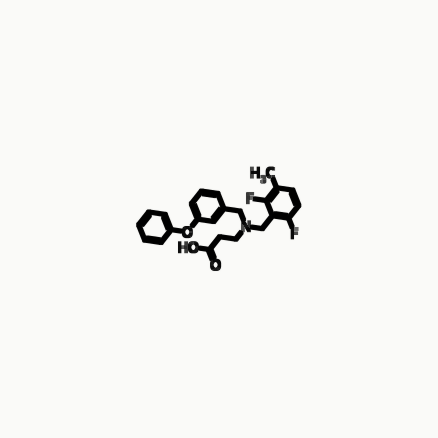 Cc1ccc(F)c(CN(CCC(=O)O)Cc2cccc(Oc3ccccc3)c2)c1F